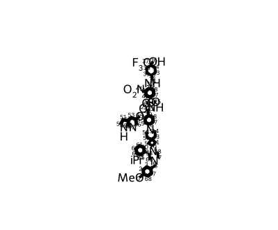 COc1ccc(CN2CCN(C3CC4(CCN(c5ccc(C(=O)NS(=O)(=O)c6ccc(NCC7CCC(O)(C(F)(F)F)CC7)c([N+](=O)[O-])c6)c(Oc6cnc7[nH]ccc7c6)c5)CC4)C3)[C@H](c3ccccc3C(C)C)C2)cc1